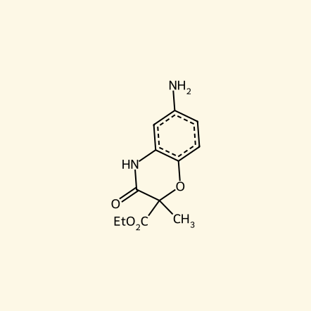 CCOC(=O)C1(C)Oc2ccc(N)cc2NC1=O